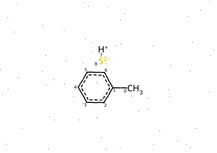 Cc1ccccc1.[H+].[S-2]